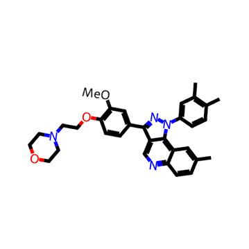 COc1cc(-c2nn(-c3ccc(C)c(C)c3)c3c2cnc2ccc(C)cc23)ccc1OCCN1CCOCC1